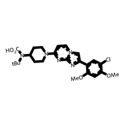 COc1cc(OC)c(-c2cn3ccc(N4CCC(N(C(=O)O)C(C)(C)C)CC4)nc3n2)cc1Cl